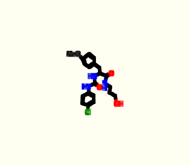 COc1ccc(CC(NC(=O)Nc2ccc(Cl)cc2)C(=O)NCCCO)cc1